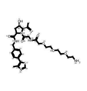 C=C(C)[C@@H]1[C@H](O)CC(C(=O)NCc2ccc(-c3scnc3C)cc2)N1C(=O)[C@H](C)NC(=O)COCCOCCOCCN